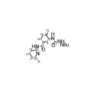 CCCCNC(=O)Nc1cc(C(=O)Nc2cccc(C)n2)ccc1C